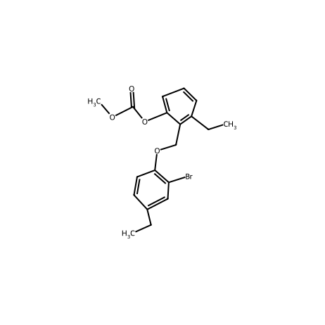 CCc1ccc(OCc2c(CC)cccc2OC(=O)OC)c(Br)c1